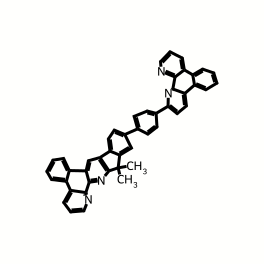 CC1(C)c2cc(-c3ccc(-c4ccc5c6ccccc6c6cccnc6c5n4)cc3)ccc2-c2cc3c4ccccc4c4cccnc4c3nc21